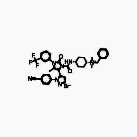 Cc1c(-c2ccnn2-c2ccc(C#N)cc2)n(C(=O)N[C@H]2CC[C@@H]([N+](C)(C)Cc3ccccc3)CC2)c(=O)n1-c1cccc(C(F)(F)F)c1.[Br-]